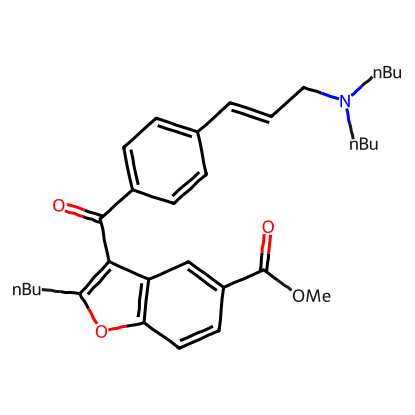 CCCCc1oc2ccc(C(=O)OC)cc2c1C(=O)c1ccc(C=CCN(CCCC)CCCC)cc1